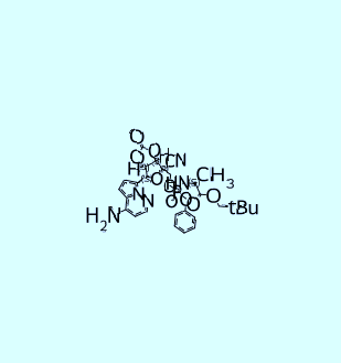 C[C@H](N[P@](=O)(OC[C@@]1(C#N)O[C@@H](c2ccc3c(N)ccnn23)[C@@H]2OC(=O)O[C@@H]21)Oc1ccccc1)C(=O)OCC(C)(C)C